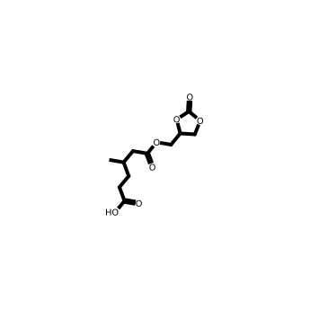 CC(CCC(=O)O)CC(=O)OCC1COC(=O)O1